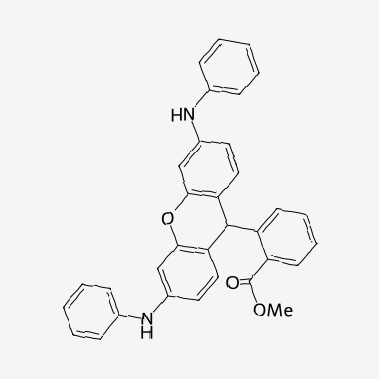 COC(=O)c1ccccc1C1c2ccc(Nc3ccccc3)cc2Oc2cc(Nc3ccccc3)ccc21